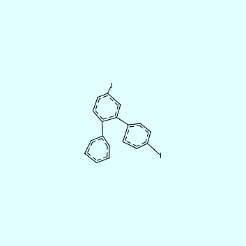 Ic1ccc(-c2cc(I)ccc2-c2ccccc2)cc1